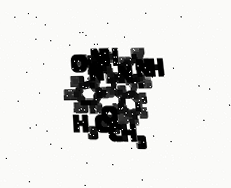 CC1(C)Cc2cccc(CC(C3CNC(=O)N3c3ccccc3)N3CCNCC3)c2O1